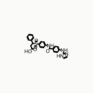 O=C(O)CC(c1ccccc1)S(=O)(=O)c1ccc(NC(=O)c2ccc(Nc3ncc[nH]3)cc2)cc1